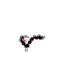 Cc1cc(-c2n[nH]c3ncc(-c4ccc(N5CCN(CC(F)(F)c6ccc(C7CCC(=O)NC7=O)cn6)CC5)cc4)cc23)ccc1[C@@H](C)NC(=O)c1noc(C(C)(C)C)n1